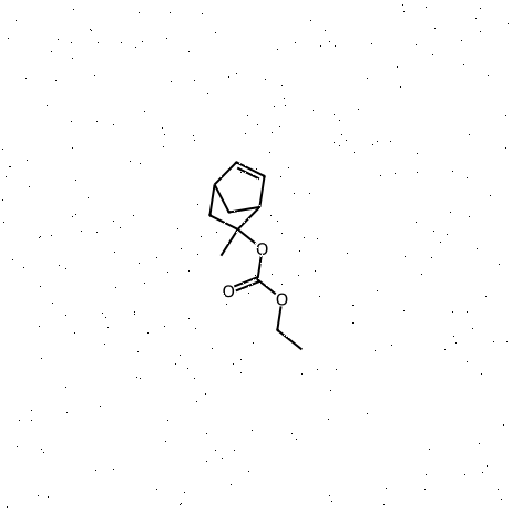 CCOC(=O)OC1(C)CC2C=CC1C2